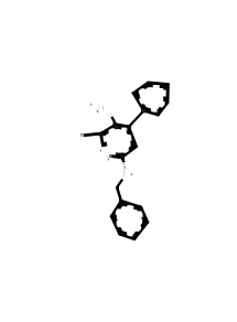 N#Cc1c(-c2ccccc2)cc(NCc2ccccc2)nc1Cl